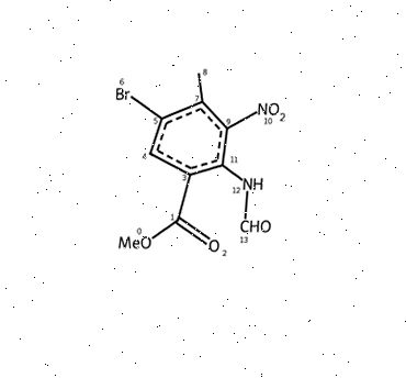 COC(=O)c1cc(Br)c(C)c([N+](=O)[O-])c1NC=O